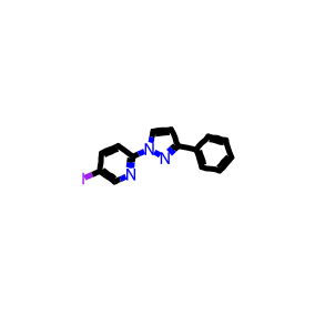 Ic1ccc(-n2ccc(-c3ccccc3)n2)nc1